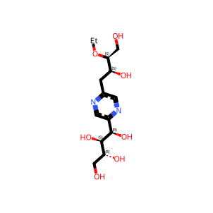 CCO[C@@H](CO)[C@@H](O)Cc1cnc([C@@H](O)[C@H](O)[C@H](O)CO)cn1